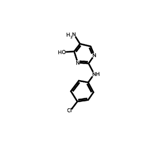 Nc1cnc(Nc2ccc(Cl)cc2)nc1O